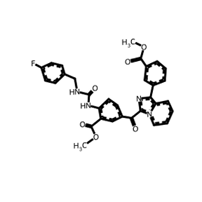 COC(=O)c1cccc(-c2nc(C(=O)c3ccc(NC(=O)NCc4ccc(F)cc4)c(C(=O)OC)c3)n3ccccc23)c1